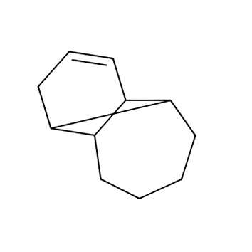 C1=CC2C3CCCCC2C3C1